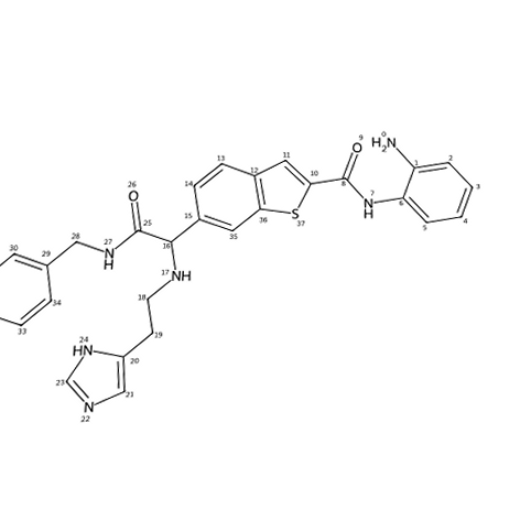 Nc1ccccc1NC(=O)c1cc2ccc(C(NCCc3cnc[nH]3)C(=O)NCc3ccccc3)cc2s1